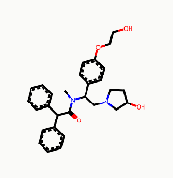 CN(C(=O)C(c1ccccc1)c1ccccc1)C(CN1CCC(O)C1)c1ccc(OCCO)cc1